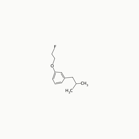 CC(C)Cc1cccc(OCCF)c1